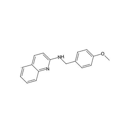 COc1ccc(CNc2ccc3[c]cccc3n2)cc1